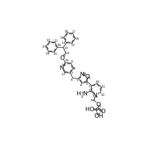 Nc1c(-c2cc(Cc3ccc(OCC(c4ccccc4)c4ccccc4)nc3)no2)ccc[n+]1COP(=O)(O)O